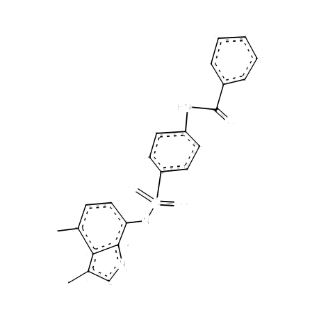 Cc1ccc(NS(=O)(=O)c2ccc(NC(=O)c3ccccc3)cc2)c2[nH]cc(C)c12